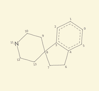 c1ccc2c(c1)CCC21CC[N]CC1